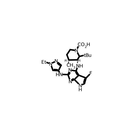 CCn1cc(Nc2nc(N[C@H]3C(C(C)(C)C)N(C(=O)O)CC[C@H]3C)c3c(F)c[nH]c3n2)cn1